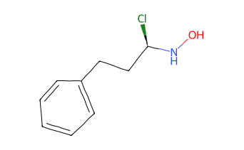 ON[C@H](Cl)CCc1ccccc1